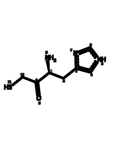 N[C@@H](Cc1c[nH]cn1)C(=O)CS